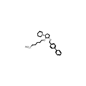 O=C(O)CCCCCO[C@H]1[C@@H](OCc2ccc(-c3ccccc3)cc2)CC[C@@H]1N1CCCCC1